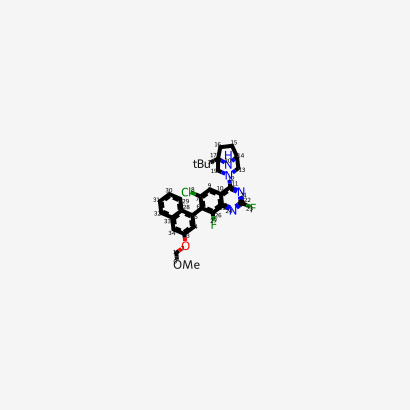 COCOc1cc(-c2c(Cl)cc3c(N4CC5CCC(C(C)(C)C)(C4)N5)nc(F)nc3c2F)c2ccccc2c1